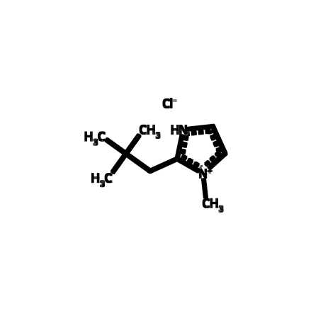 C[n+]1cc[nH]c1CC(C)(C)C.[Cl-]